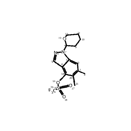 Cc1cc2c(cnn2C2CCCCO2)c(OS(=O)(=O)C(F)(F)F)c1C